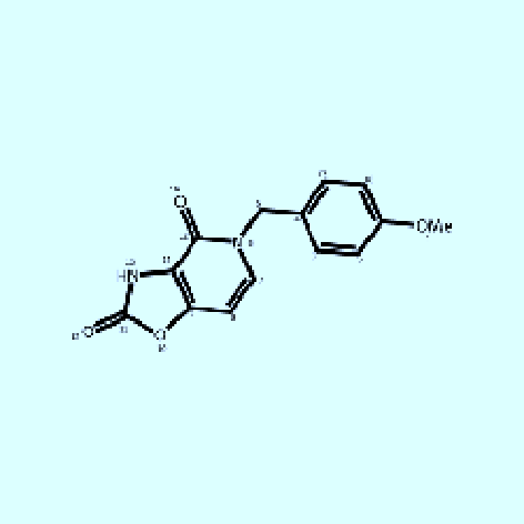 COc1ccc(Cn2ccc3oc(=O)[nH]c3c2=O)cc1